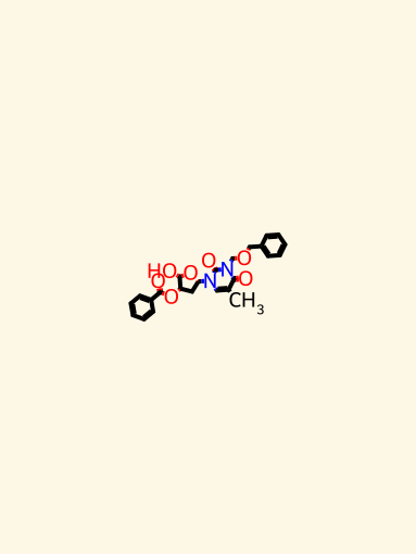 Cc1cn(C2CC(OC(=O)c3ccccc3)C(O)O2)c(=O)n(COCc2ccccc2)c1=O